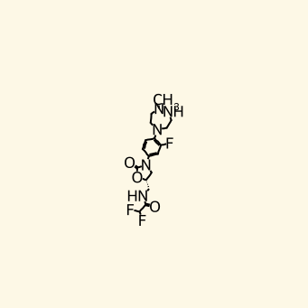 CN1CCN(c2ccc(N3C[C@H](CNC(=O)C(F)F)OC3=O)cc2F)CCN1